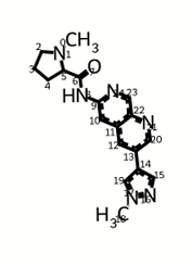 CN1CCCC1C(=O)Nc1cc2cc(-c3cnn(C)c3)cnc2cn1